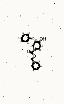 O=C(OCc1ccccc1)N1CC[C@H](O)[C@@H](Oc2ccccc2)C1